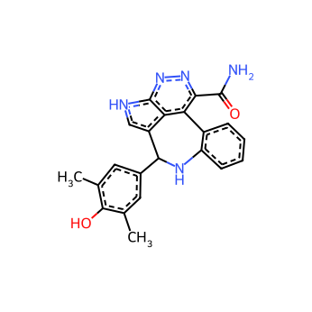 Cc1cc(C2Nc3ccccc3-c3c(C(N)=O)nnc4[nH]cc2c34)cc(C)c1O